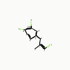 C/C(=C/F)Cc1ccc(F)c(F)c1